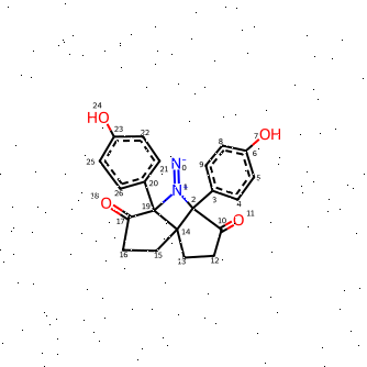 [N-]=[N+]1C2(c3ccc(O)cc3)C(=O)CCC23CCC(=O)C13c1ccc(O)cc1